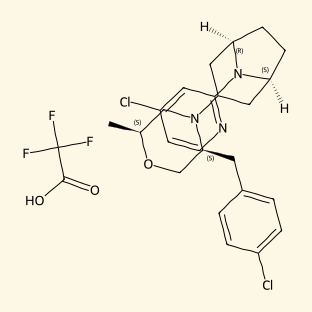 C[C@H]1CN(C2C[C@H]3CC[C@@H](C2)N3c2cc(Cl)ccn2)[C@@H](Cc2ccc(Cl)cc2)CO1.O=C(O)C(F)(F)F